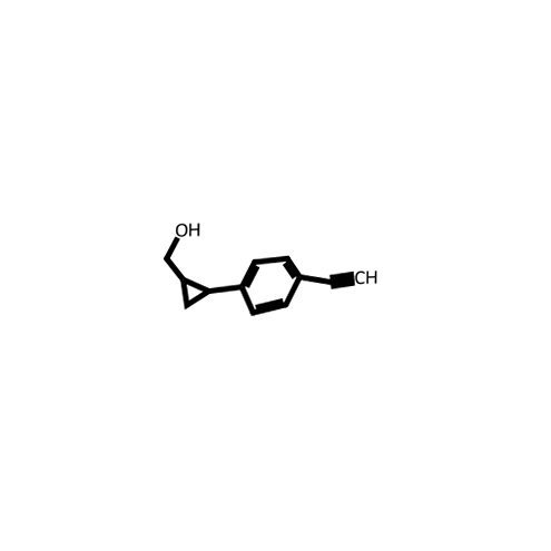 C#Cc1ccc(C2CC2CO)cc1